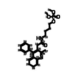 COP(=O)(OC)OCCCCNC(=O)Cc1c(C)nc2c(c1-c1ccccc1)=CCCC=2